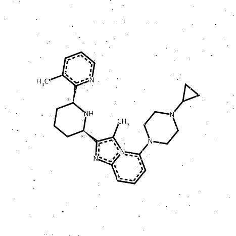 Cc1cccnc1[C@@H]1CCC[C@H](c2nc3cccc(N4CCN(C5CC5)CC4)n3c2C)N1